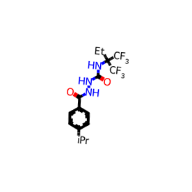 CCC(NC(=O)NNC(=O)c1ccc(C(C)C)cc1)(C(F)(F)F)C(F)(F)F